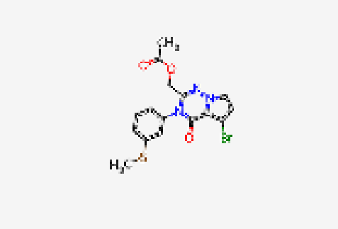 CSc1cccc(-n2c(COC(C)=O)nn3ccc(Br)c3c2=O)c1